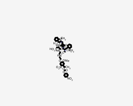 C/N=C(\C=C1/C(=O)C(/C=C2/N(C)c3ccccc3C2(C)C)=C1NC(CS(=O)(=O)O)C(=O)NCCNCCOc1cc([N+](=O)[O-])c(C(C)OC(=O)Oc2ccc([N+](=O)[O-])cc2)cc1OC)C(C)(C)c1ccccc1C